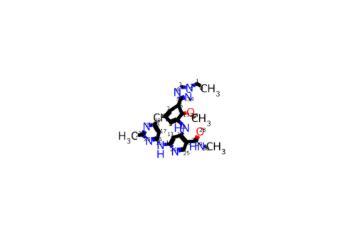 CCn1cnc(C2C=CC=C(Nc3cc(Nc4cc(C)nc(C)n4)ncc3C(=O)NC)C2OC)n1